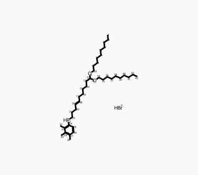 Br.CCCCCCCCCCOC(CCCCCC=CCCCPc1ccc(C)c(C)c1C)OCCCCCCCCCC